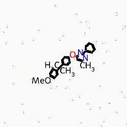 COc1ccc(C(C)(C)c2ccc(Oc3cc(C)nc(-c4ccccc4)n3)cc2)cc1